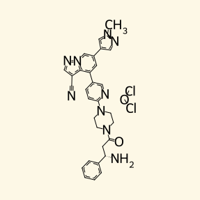 ClOCl.Cn1cc(-c2cc(-c3ccc(N4CCN(C(=O)C[C@H](N)c5ccccc5)CC4)nc3)c3c(C#N)cnn3c2)cn1